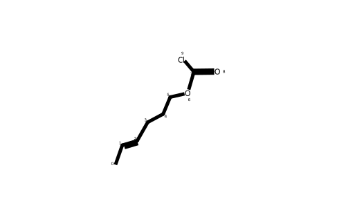 CC=CCCCOC(=O)Cl